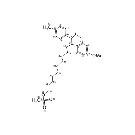 COc1ccc2c(c1)CCC(c1ccc(C)cc1)C2CCCCCCCCCCOS(C)(=O)=O